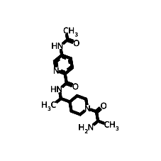 CC(=O)Nc1ccc(C(=O)NC(C)C2CCN(C(=O)C(C)N)CC2)nc1